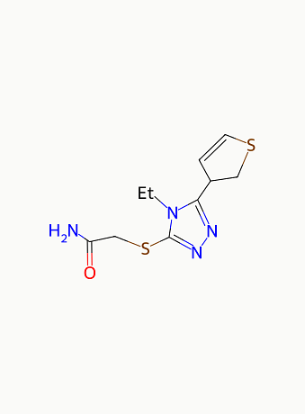 CCn1c(SCC(N)=O)nnc1C1C=CSC1